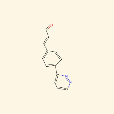 O=C/C=C/c1ccc(-c2cccnn2)cc1